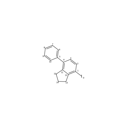 Ic1ccc(-c2ccccc2)c2c1CCC2